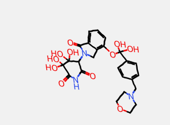 O=C1NC(=O)C(O)(O)C(O)(O)C1N1Cc2c(OC(O)(O)c3ccc(CN4CCOCC4)cc3)cccc2C1=O